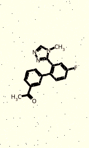 CC(=O)c1cccc(-c2ccc(F)cc2-c2nncn2C)c1